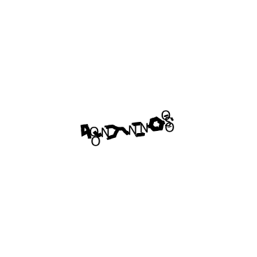 CC1(OC(=O)N2CCC(CCN3CCN(c4ccc(S(C)(=O)=O)cc4)CC3)CC2)CCC1